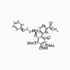 COc1cc(-c2nc([S+](C)[O-])ncc2C(=O)NCCOc2ccccc2)c(Cl)c(OC)c1OC